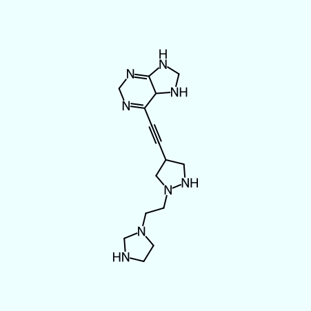 C(#CC1CNN(CCN2CCNC2)C1)C1=NCN=C2NCNC12